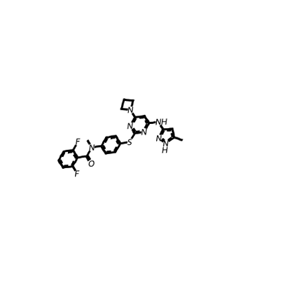 Cc1cc(Nc2cc(N3CCC3)nc(Sc3ccc(N(C)C(=O)c4c(F)cccc4F)cc3)n2)n[nH]1